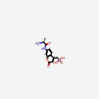 C[C@H](N)C(=O)Nc1ccc2c(CP(=O)(O)O)cc(=O)oc2c1